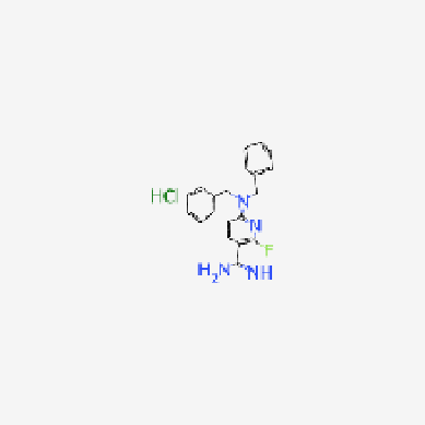 Cl.N=C(N)c1ccc(N(Cc2ccccc2)Cc2ccccc2)nc1F